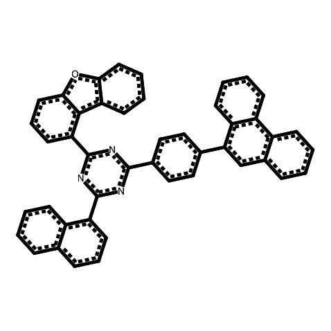 c1ccc2c(-c3nc(-c4ccc(-c5cc6ccccc6c6ccccc56)cc4)nc(-c4cccc5oc6ccccc6c45)n3)cccc2c1